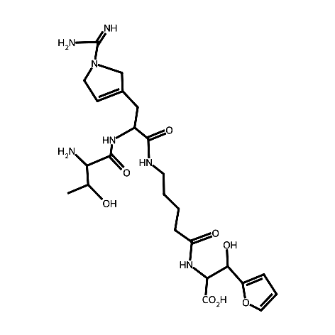 CC(O)C(N)C(=O)NC(CC1=CCN(C(=N)N)C1)C(=O)NCCCCC(=O)NC(C(=O)O)C(O)c1ccco1